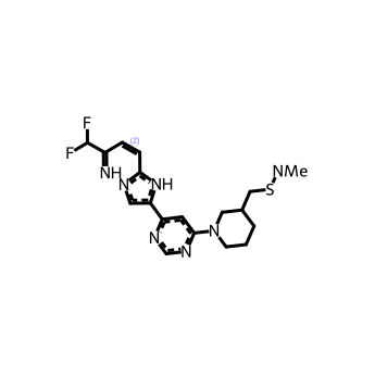 CNSCC1CCCN(c2cc(-c3cnc(/C=C\C(=N)C(F)F)[nH]3)ncn2)C1